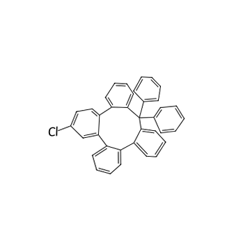 Clc1ccc2c(c1)-c1ccccc1-c1ccccc1C(c1ccccc1)(c1ccccc1)c1ccccc1-2